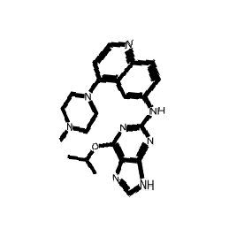 CC(C)Oc1nc(Nc2ccc3nccc(N4CCN(C)CC4)c3c2)nc2[nH]cnc12